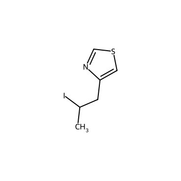 CC(I)Cc1cscn1